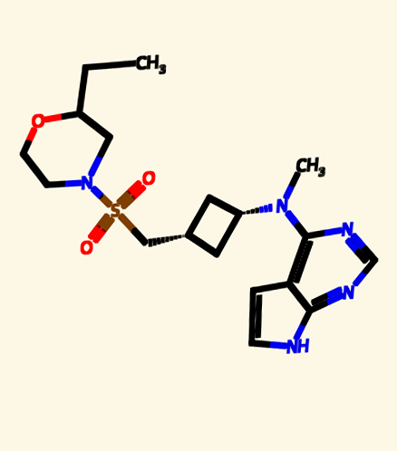 CCC1CN(S(=O)(=O)C[C@H]2C[C@@H](N(C)c3ncnc4[nH]ccc34)C2)CCO1